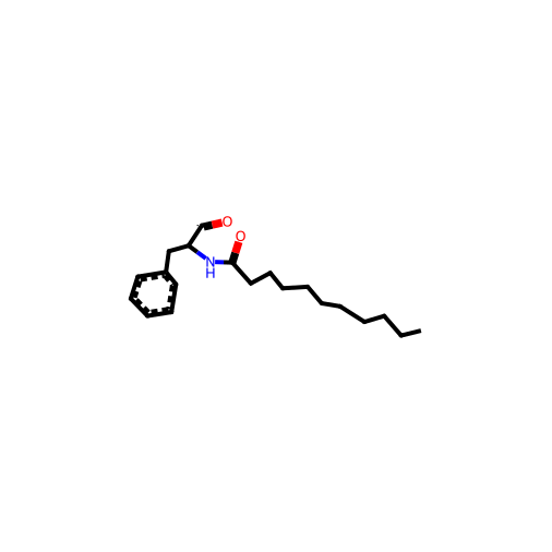 CCCCCCCCCCC(=O)NC([C]=O)Cc1ccccc1